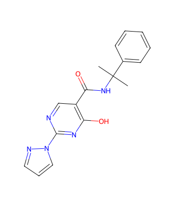 CC(C)(NC(=O)c1cnc(-n2cccn2)nc1O)c1ccccc1